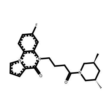 C[C@H]1C[C@H](C)CN(C(=O)CCCn2c(=O)c3cccn3c3ccc(F)cc32)C1